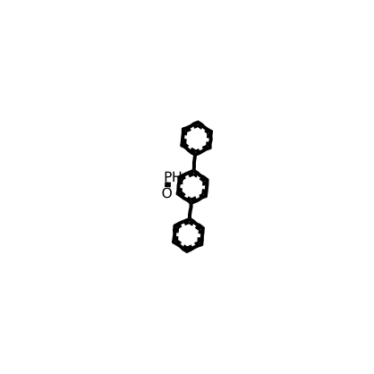 O=P.c1ccc(-c2ccc(-c3ccccc3)cc2)cc1